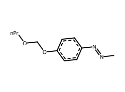 CCCOCOc1ccc(N=NC)cc1